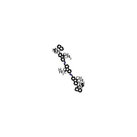 CC1(C)c2cc(/C=C/c3ccc4c(c3)C(C)(C)c3cc(N(c5ncncn5)c5cccc6ccccc56)ccc3-4)ccc2-c2ccc(/C=C/c3ccc4c(c3)C(C)(C)c3cc(N(c5ncncn5)c5cccc6ccccc56)ccc3-4)cc21